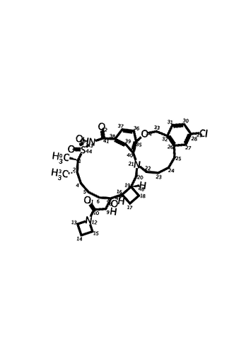 C[C@@H]1[C@@H](C)CCC[C@](O)(CC(=O)N2CCC2)[C@@H]2CC[C@H]2CN2CCCCc3cc(Cl)ccc3COc3ccc(cc32)C(=O)NS1(=O)=O